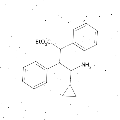 CCOC(=O)C(c1ccccc1)C(c1ccccc1)C(N)C1CC1